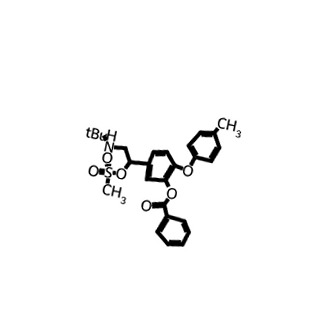 Cc1ccc(Oc2ccc(C(CNC(C)(C)C)OS(C)(=O)=O)cc2OC(=O)c2ccccc2)cc1